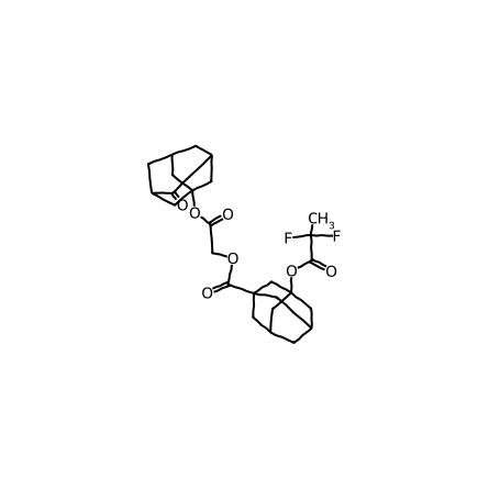 CC(F)(F)C(=O)OC12CC3CC(C1)CC(C(=O)OCC(=O)OC14CC5CC(C1)C(=O)C(C5)C4)(C3)C2